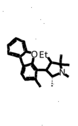 CCC1C(c2c(C)ccc3c2oc2ccccc23)[C@@H](C)N(C)C1(C)C